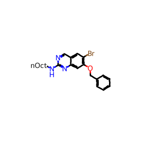 CCCCCCCCNc1ncc2cc(Br)c(OCc3ccccc3)cc2n1